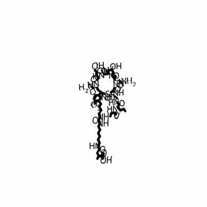 CCC(=O)N[C@H](C(=O)NCC(=O)N[C@H]1C[S+]([O-])c2[nH]c3c(CSCCNC(=O)NCCCCCCNC(=O)CC(C)C(=O)O)c(OC)ccc3c2C[C@@H](C(N)=O)NC(=O)[C@H]([C@@H](C)[C@@H](O)CO)NC(=O)[C@@H]2C[C@@H](O)CN2C(=O)[C@H](CC(N)=O)NC1=O)[C@@H](C)CC